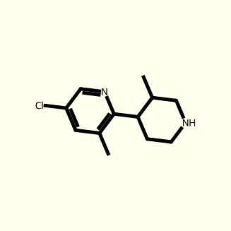 Cc1cc(Cl)cnc1C1CCNCC1C